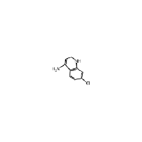 NC1=CCNc2cc(Cl)ccc21